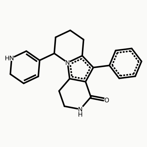 O=C1NCCc2c1c(-c1ccccc1)c1n2C(C2=CNCC=C2)CCC1